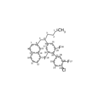 CCCCC(Cc1ccc2ccccc2c1)c1cc(F)c(-c2ccc(Cl)c(F)c2)c(F)c1